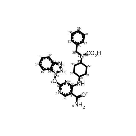 NC(=O)c1cnc(On2nnc3ccccc32)nc1NC1CCC(N(Cc2ccccc2)C(=O)O)CC1